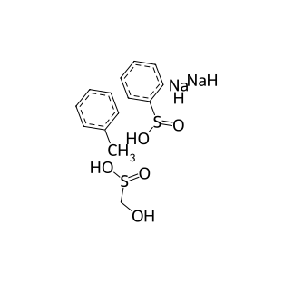 Cc1ccccc1.O=S(O)CO.O=S(O)c1ccccc1.[NaH].[NaH]